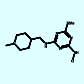 CNc1nc(NCl)nc(NCC2CCN(C)CC2)n1